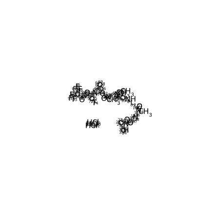 COc1cc(NCCCCCC(=O)N(C)CCN2CCC(OC(=O)Nc3ccccc3-c3ccccc3)CC2)ccc1C(=O)N(C)CCCN(C)C(=O)CO[C@H]1Cc2ccccc2C12CCN(CC[C@@]1(c3ccc(F)cc3)CN(C(=O)c3cc(C(F)(F)F)cc(C(F)(F)F)c3)CO1)CC2.Cl.Cl.Cl